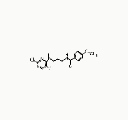 COc1ccc(C(=O)NCCCNc2nc(Cl)ncc2Cl)cc1